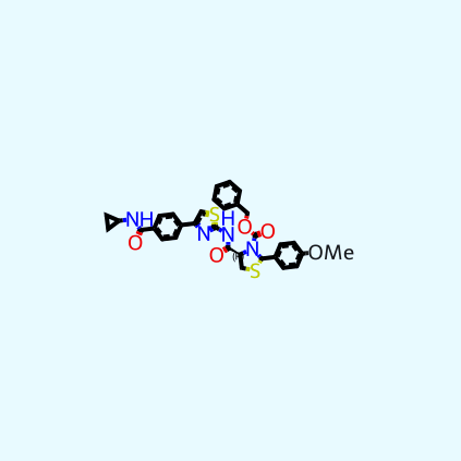 COc1ccc(C2SC[C@@H](C(=O)Nc3nc(-c4ccc(C(=O)NC5CC5)cc4)cs3)N2C(=O)OCc2ccccc2)cc1